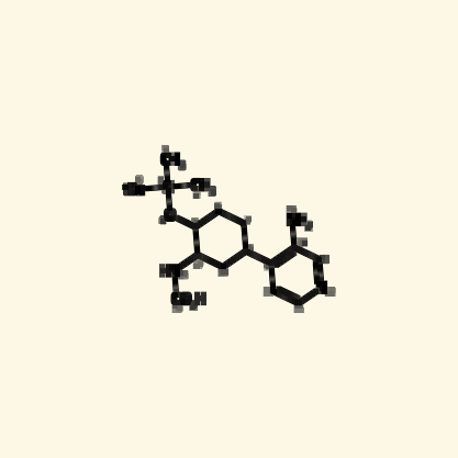 CC(C)(C)[Si](C)(C)OC1CCC(c2ccncc2N)CC1NC(=O)O